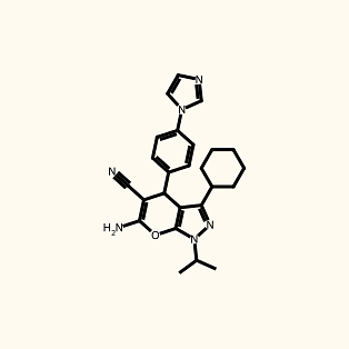 CC(C)n1nc(C2CCCCC2)c2c1OC(N)=C(C#N)C2c1ccc(-n2ccnc2)cc1